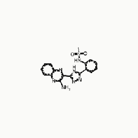 CS(=O)(=O)Nc1ccccc1-c1nnc(-c2nc3ccccc3nc2N)[nH]1